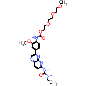 CCNC(=O)Nc1ccc2ncc(-c3ccc(NC(=O)OCCOCCOCCOC)c(OC)c3)nc2n1